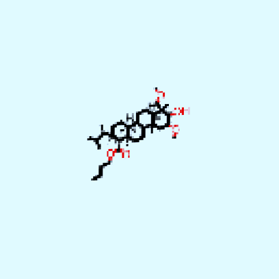 CCCCOC(=O)[C@@H]1[C@@](C)([C@H](C)C(C)C)CC[C@]2(C)[C@H]3CC[C@H]4C(C)(COC)[C@@H](O)[C@H](OC)C[C@]4(C)C3=CC[C@@]12C